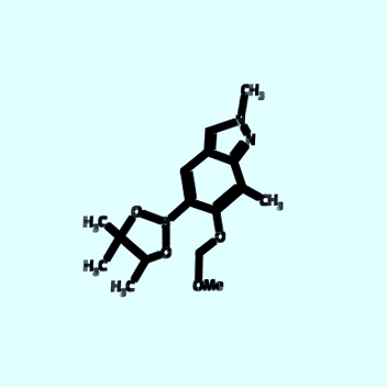 COCOc1c(B2OC(C)C(C)(C)O2)cc2cn(C)nc2c1C